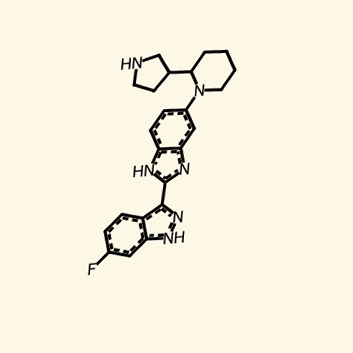 Fc1ccc2c(-c3nc4cc(N5CCCCC5C5CCNC5)ccc4[nH]3)n[nH]c2c1